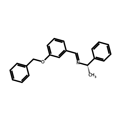 C[C@H](/N=C/c1cccc(OCc2ccccc2)c1)c1ccccc1